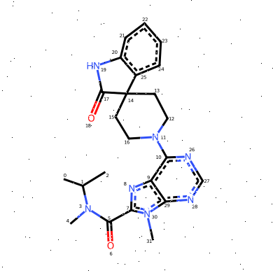 CC(C)N(C)C(=O)c1nc2c(N3CCC4(CC3)C(=O)Nc3ccccc34)ncnc2n1C